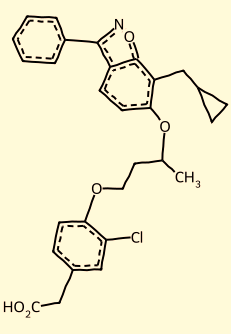 CC(CCOc1ccc(CC(=O)O)cc1Cl)Oc1ccc2c(-c3ccccc3)noc2c1CC1CC1